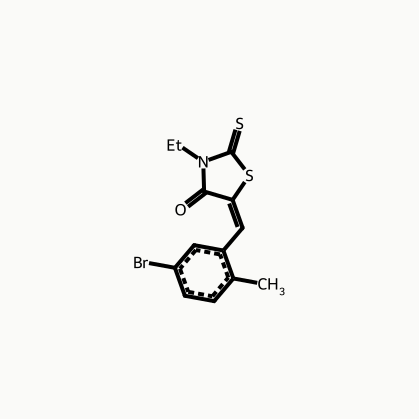 CCN1C(=O)/C(=C\c2cc(Br)ccc2C)SC1=S